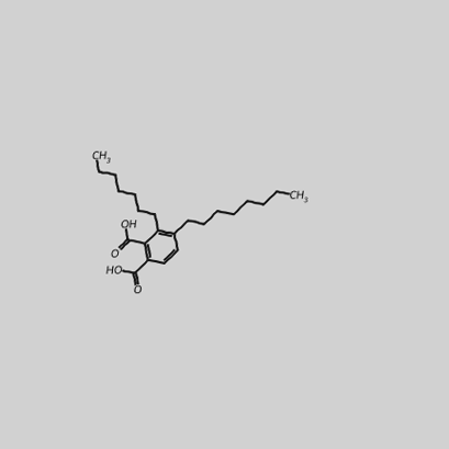 CCCCCCCCc1ccc(C(=O)O)c(C(=O)O)c1CCCCCCC